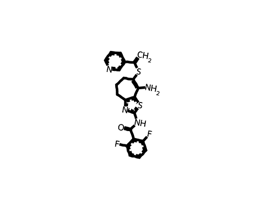 C=C(SC1=C(N)c2sc(NC(=O)c3c(F)cccc3F)nc2CCC1)c1cccnc1